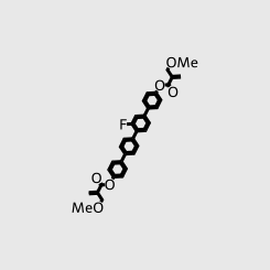 C=C(COC)C(=O)Oc1ccc(-c2ccc(-c3ccc(-c4ccc(OC(=O)C(=C)COC)cc4)cc3F)cc2)cc1